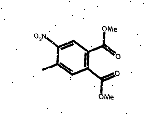 COC(=O)c1cc(C)c([N+](=O)[O-])cc1C(=O)OC